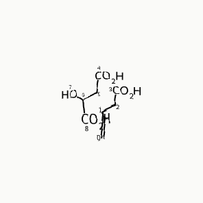 C=CCC(=O)O.O=C(O)CC(O)C(=O)O